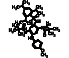 COc1ccc(Nc2cc(NC(=O)C(C)(C)C)c(NS(=O)(=O)c3c(C(C)C)cc(C(C)C)cc3C(C)C)cc2NC(=O)C(C)(C)C)cc1